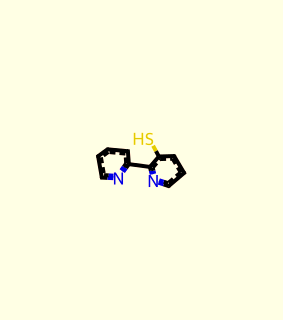 Sc1cccnc1-c1ccccn1